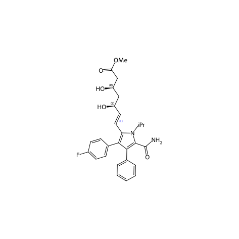 COC(=O)C[C@H](O)C[C@H](O)/C=C/c1c(-c2ccc(F)cc2)c(-c2ccccc2)c(C(N)=O)n1C(C)C